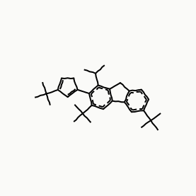 CC(C)c1c2c(cc(C(C)(C)C)c1C1=CC(C(C)(C)C)=CC1)-c1cc(C(C)(C)C)ccc1C2